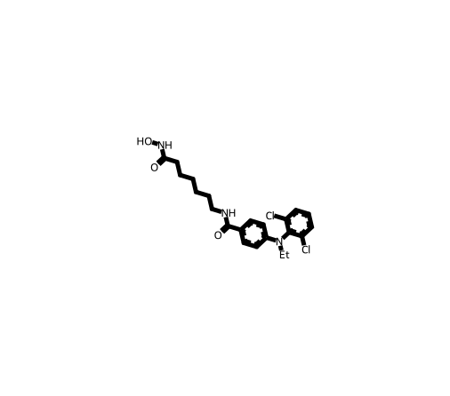 CCN(c1ccc(C(=O)NCCCCCCC(=O)NO)cc1)c1c(Cl)cccc1Cl